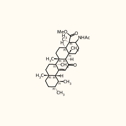 COC(=O)[C@@]1(C)C(NC(C)=O)CC[C@@]2(C)[C@H]1CC[C@]1(C)[C@@H]2C(=O)C=C2[C@@H]3[C@@H](C)[C@H](C)CC[C@]3(C)CC[C@]21C